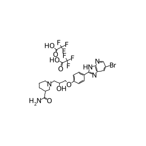 NC(=O)C1CCCN(CC(O)COc2ccc(-c3nc4cc(Br)cnc4[nH]3)cc2)C1.O=C(O)C(F)(F)F.O=C(O)C(F)(F)F